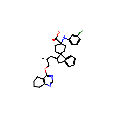 C[C@@H](COc1ncnc2c1CCCC2)CC1Cc2ccccc2C12CCC(Nc1cccc(Cl)c1)(C(=O)O)CC2